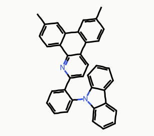 Cc1ccc2c(c1)c1cc(C)ccc1c1nc(-c3ccccc3-n3c4ccccc4c4ccccc43)ccc21